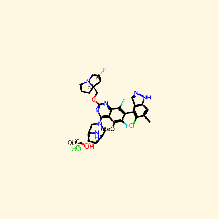 COc1c(F)c(-c2c(Cl)c(C)cc3[nH]ncc23)c(F)c2nc(OC[C@@]34CCCN3C[C@H](F)C4)nc(N3CC4CCC(C3)N4)c12.Cl.O=CO